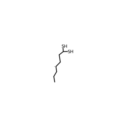 CCC[CH]CCC(S)S